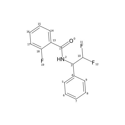 O=C(NC(c1ccccc1)C(F)F)c1ccccc1F